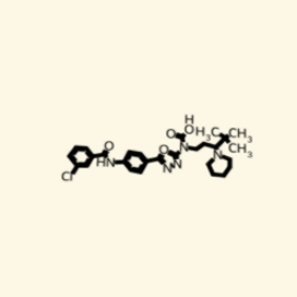 CC(C)(C)C(CCN(C(=O)O)c1nnc(-c2ccc(NC(=O)c3cccc(Cl)c3)cc2)o1)N1CCCCC1